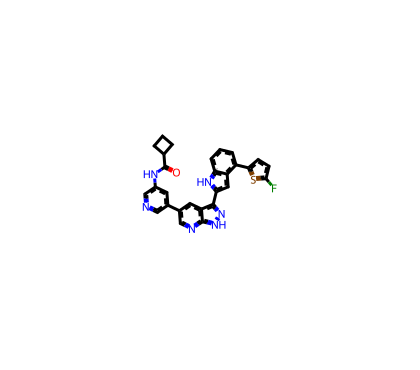 O=C(Nc1cncc(-c2cnc3[nH]nc(-c4cc5c(-c6ccc(F)s6)cccc5[nH]4)c3c2)c1)C1CCC1